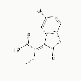 CCC(C(=O)O)=C1C(=O)Nc2ccc(Cl)cc21